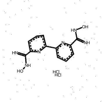 Cl.Cl.N=C(NO)c1cccc(-c2cccc(C(=N)NO)n2)n1